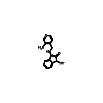 CCCC1C(=O)N(NCc2ccncc2N)c2ccccc21